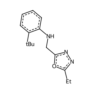 CCc1nnc(CNc2ccccc2C(C)(C)C)o1